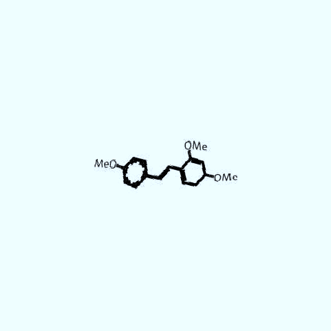 COC1=CC(OC)CC=C1/C=C/c1ccc(OC)cc1